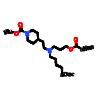 CCCCCCCCCCCCCCN(CCCOC(=O)CCCCCCCCC)CCC1CCN(C(=O)OC(C)(C)C)CC1